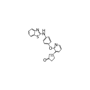 O=C1CC[C@H](c2cccnc2Oc2ccc(Nc3nc4ccccc4s3)cc2)C1